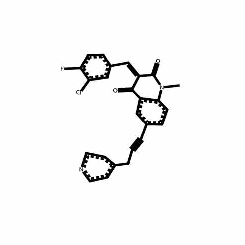 CN1C(=O)/C(=C/c2ccc(F)c(Cl)c2)C(=O)c2cc(C#CCc3ccncc3)ccc21